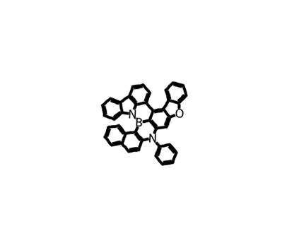 c1ccc(N2c3cc4oc5ccccc5c4c4c3B(c3c2ccc2ccccc32)n2c3ccccc3c3cccc-4c32)cc1